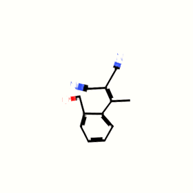 CC(=C(C#N)C#N)c1ccccc1C=O